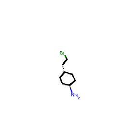 N[C@H]1CC[C@H](CCBr)CC1